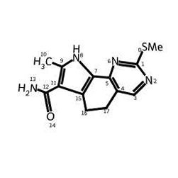 CSc1ncc2c(n1)-c1[nH]c(C)c(C(N)=O)c1CC2